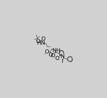 COC(=O)[C@H](CCCNC(=O)OC(C)(C)C)NC(=O)c1cccn(C(I)c2ccccc2)c1=O